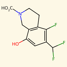 O=C(O)N1CCc2c(F)c(C(F)F)cc(O)c2C1